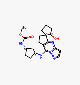 CC(C)(C)OC(=O)N[C@H]1CC[C@H](Nc2c3c(nc4ccnn24)[C@]2(CCC[C@H]2O)CC3)C1